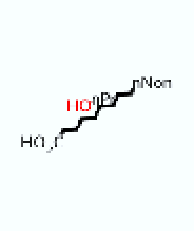 CCCCCCCCCCCCCCCCCC(=O)O.[CH2]CCO